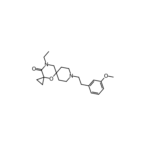 CCN1CC2(CCN(CCc3cccc(OC)c3)CC2)OC2(CC2)C1=O